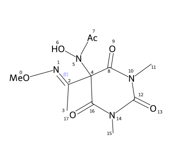 CO/N=C(\C)C1(N(O)C(C)=O)C(=O)N(C)C(=O)N(C)C1=O